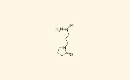 CC(C)N(N)CCCN1CCCC1=O